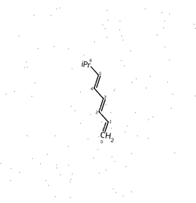 C=C/C=C/C=C/C(C)C